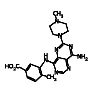 Cc1ccc(C(=O)O)cc1Nc1ncnc2c(N)nc(N3CCN(C)CC3)nc12